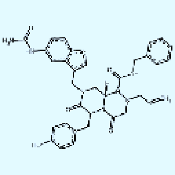 C=CCN1CC(=O)N2[C@@H](Cc3ccc(O)cc3)C(=O)N(Cc3csc4ccc(NC(N)=O)cc34)C[C@@H]2N1C(=O)NCc1ccccc1